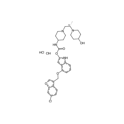 C[C@@H](CN1CCC(NC(=O)Oc2cc3c(OCc4coc5cc(Cl)ccc45)cccc3[nH]2)CC1)N1CCC(O)CC1.Cl.Cl